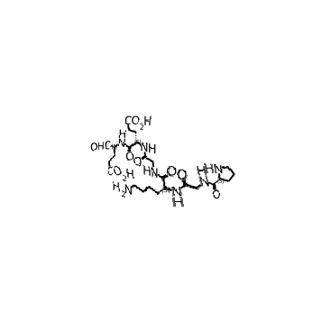 NCCCC[C@H](NC(=O)CNC(=O)[C@@H]1CCCN1)C(=O)NCC(=O)N[C@@H](CCC(=O)O)C(=O)N[C@H]([C]=O)CCC(=O)O